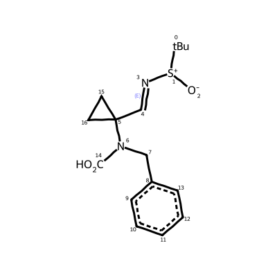 CC(C)(C)[S+]([O-])/N=C/C1(N(Cc2ccccc2)C(=O)O)CC1